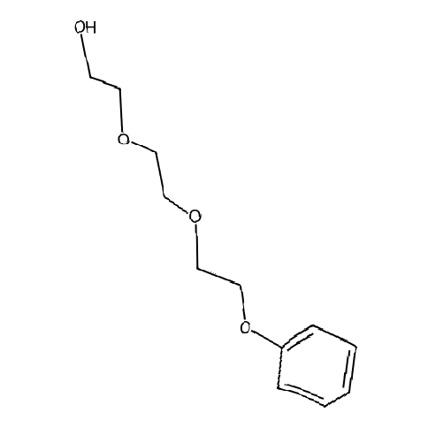 OCCOCCOCCOc1ccccc1